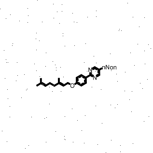 CCCCCCCCCc1cnc(-c2ccc(OC/C=C(\C)CCC=C(C)C)cc2)nc1